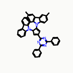 Cc1ccc2c(c1)c1cc(C)ccc1n2C1=CC(c2nc(-c3ccccc3)nc(-c3ccccc3)n2)=CC1n1c2ccccc2c2ccccc21